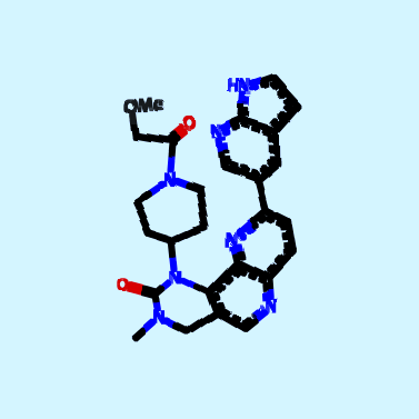 COCC(=O)N1CCC(N2C(=O)N(C)Cc3cnc4ccc(-c5cnc6[nH]ccc6c5)nc4c32)CC1